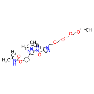 C#CCOCCOCCOCCOCCn1cc(C(=O)Nc2cc([C@H]3CC[C@@H](OC(=O)NC(C)C)C3)nn2C(C)(C)C)cn1